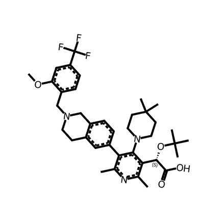 COc1cc(C(F)(F)F)ccc1CN1CCc2cc(-c3c(C)nc(C)c([C@H](OC(C)(C)C)C(=O)O)c3N3CCC(C)(C)CC3)ccc2C1